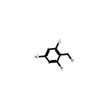 N#Cc1cc(Cl)c(CBr)c(Br)c1